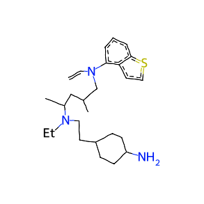 C=CN(CC(C)CC(C)N(CC)CCC1CCC(N)CC1)c1cccc2sccc12